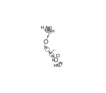 CC[C@H]1CN(c2ncc(C3=NCCN3)cc2Cl)CCN1C1CCN(Cc2ccc(C#CC(C)(C)NS(N)(=O)=O)cc2)CC1